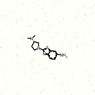 CN(C)[C@H]1CCN(c2nc3ccc(N)cc3s2)C1